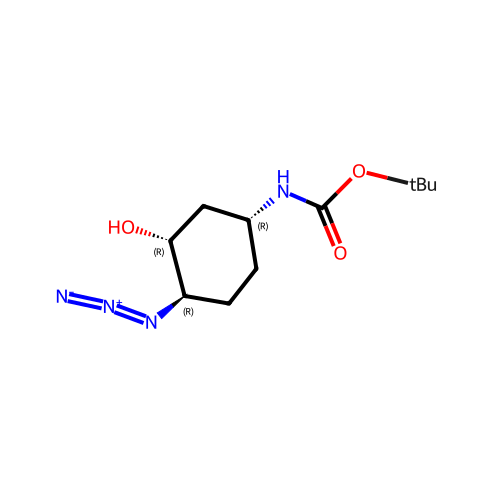 CC(C)(C)OC(=O)N[C@@H]1CC[C@@H](N=[N+]=[N-])[C@H](O)C1